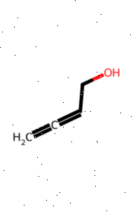 C=C=CCO